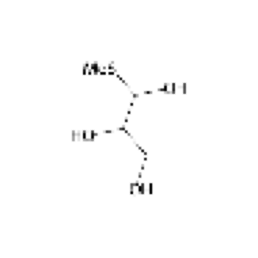 CSC(O)C(O)CO